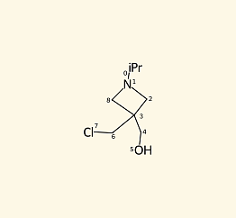 CC(C)N1CC(CO)(CCl)C1